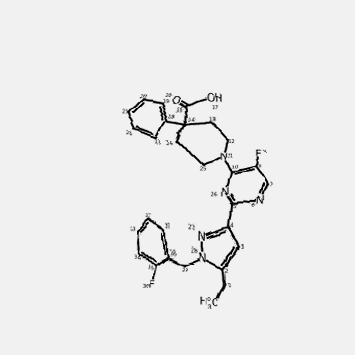 CCc1cc(-c2ncc(F)c(N3CCC(C(=O)O)(c4ccccc4)CC3)n2)nn1Cc1ccccc1F